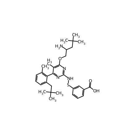 Cc1cccc(CC(C)(C)C)c1-c1nc(NSc2cccc(C(=O)O)c2)nc(OCC(N)CC(C)(C)C)c1C